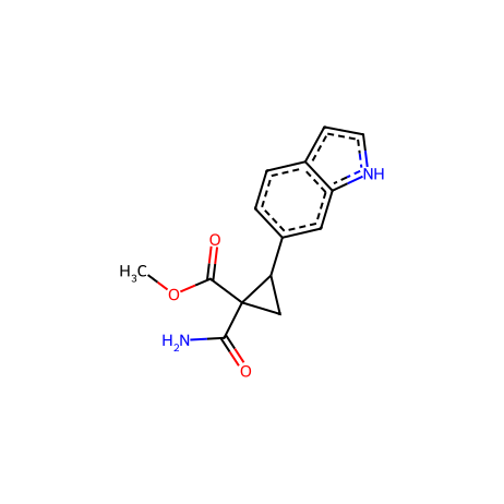 COC(=O)C1(C(N)=O)CC1c1ccc2cc[nH]c2c1